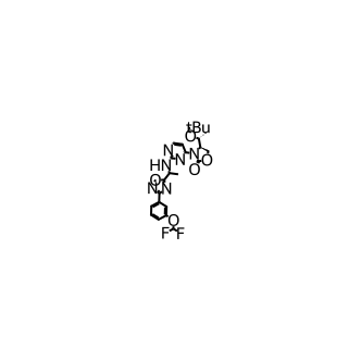 CC(Nc1nccc(N2C(=O)OC[C@@H]2[C@@H](C)OC(C)(C)C)n1)c1nc(-c2cccc(OC(F)F)c2)no1